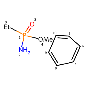 CCP(N)(=O)OC.c1ccccc1